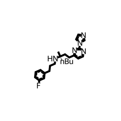 CCCC[C@](C)(CCc1ccnc(-n2ccnc2)n1)NCCCc1cccc(F)c1